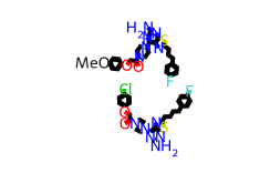 COc1ccc(OCC(=O)N2CCN(c3nc(N)nc4sc(CCCc5ccc(F)cc5)nc34)CC2)cc1.Nc1nc(N2CCN(C(=O)COc3ccc(Cl)cc3)CC2)c2nc(CCCCc3ccc(F)cc3)sc2n1